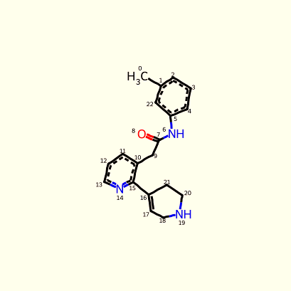 Cc1cccc(NC(=O)Cc2cccnc2C2=CCNCC2)c1